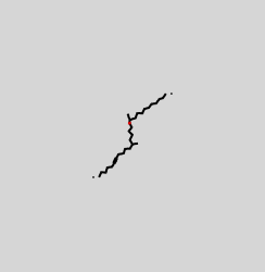 [CH2]CCCCC#CCCCCC(C)CCCCCC(C)CCCCCCCCC[CH2]